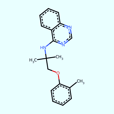 Cc1ccccc1OCC(C)(C)Nc1ncnc2ccccc12